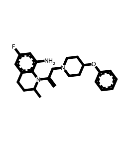 C=C(CN1CCC(Oc2ccccc2)CC1)N1c2c(N)cc(F)cc2CCC1C